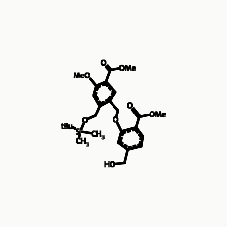 COC(=O)c1cc(COc2cc(CO)ccc2C(=O)OC)c(CO[Si](C)(C)C(C)(C)C)cc1OC